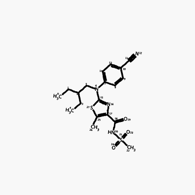 CCC(CC)CN(c1ccc(C#N)cc1)c1nc(C(=O)NS(C)(=O)=O)c(C)s1